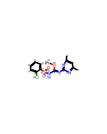 Cc1cc(C)nc(N=C(NS(=O)(=O)c2ccccc2Cl)OC(C)C)n1